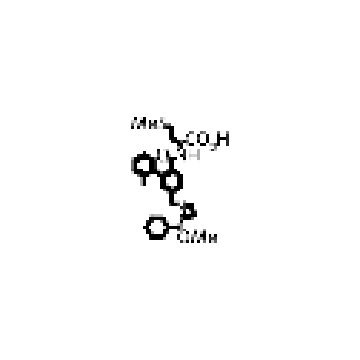 COC(C1CCCCC1)[C@@H]1CCN1Cc1ccc(C(=O)N[C@@H](CCSC)C(=O)O)c(-c2ccccc2C)c1